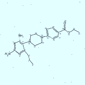 CCCc1nc(N)nc(N)c1N1CCN(c2ccc(C(=O)OCC)cc2)CC1